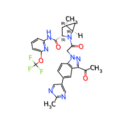 CC(=O)c1nn(CC(=O)N2[C@H](C(=O)Nc3cccc(OC(F)(F)F)n3)C[C@@]3(C)C[C@@H]23)c2ccc(-c3cnc(C)nc3)cc12